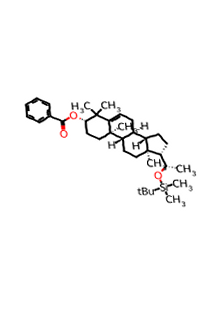 C[C@H](O[Si](C)(C)C(C)(C)C)[C@H]1CC[C@H]2[C@@H]3CC=C4C(C)(C)[C@@H](OC(=O)c5ccccc5)CC[C@]4(C)[C@H]3CC[C@]12C